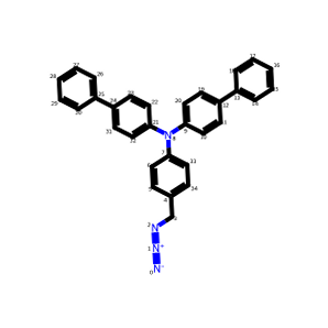 [N-]=[N+]=NCc1ccc(N(c2ccc(-c3ccccc3)cc2)c2ccc(-c3ccccc3)cc2)cc1